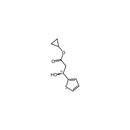 O=C(C[C@H](O)c1cccs1)OC1CC1